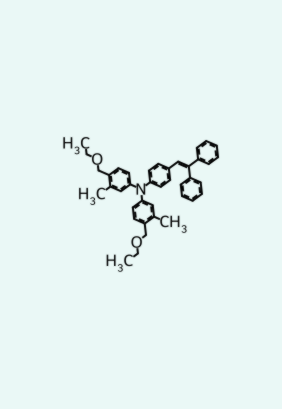 CCOCc1ccc(N(c2ccc(C=C(c3ccccc3)c3ccccc3)cc2)c2ccc(COCC)c(C)c2)cc1C